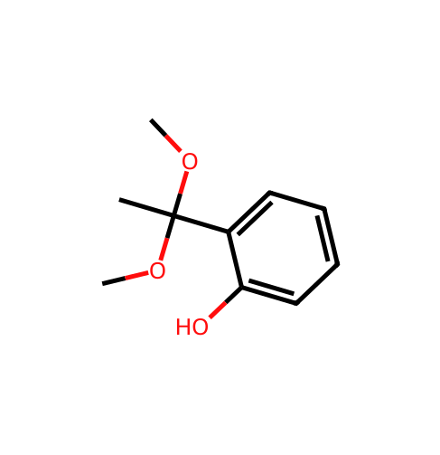 COC(C)(OC)c1ccccc1O